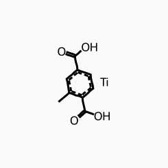 Cc1cc(C(=O)O)ccc1C(=O)O.[Ti]